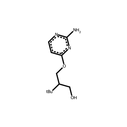 CC(C)(C)C(CO)COc1ccnc(N)n1